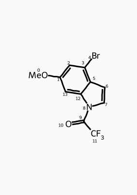 COc1cc(Br)c2ccn(C(=O)C(F)(F)F)c2c1